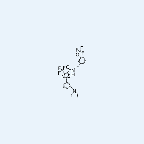 CCN(CC)Cc1cccc(-c2nc(C(F)(F)F)c(C(=O)NCCc3cccc(OC(F)(F)F)c3)s2)c1